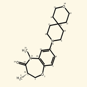 C[C@H]1COc2ccc(N3CCC4(CCOCC4)CC3)cc2N(C)C1=O